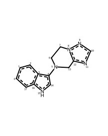 c1ccc2c(N3CCn4ncnc4C3)c[nH]c2c1